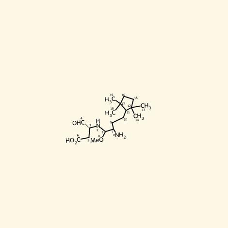 COC(N[C@@H](C=O)CC(=O)O)C(N)CCC1C(C)(C)CCC1(C)C